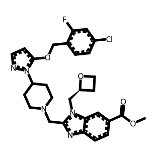 COC(=O)c1ccc2nc(CN3CCC(n4nccc4OCc4ccc(Cl)cc4F)CC3)n(C[C@@H]3CCO3)c2c1